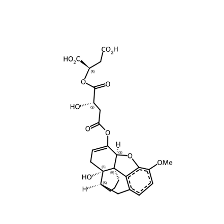 COc1ccc2c3c1O[C@@H]1C(OC(=O)C[C@H](O)C(=O)O[C@H](CC(=O)O)C(=O)O)=CC[C@]4(O)[C@@H](CCC[C@@]314)C2